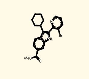 COC(=O)c1ccc2c(C3CCCCC3)c(-c3ncccc3Br)[nH]c2c1